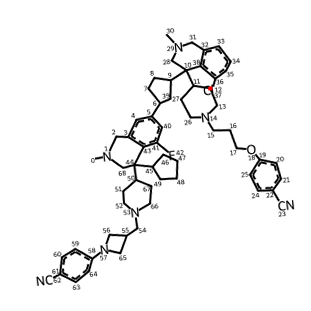 CN1Cc2cc(C3CCC(C4(C5CCN(CCCOc6ccc(C#N)cc6)CC5)CN(C)Cc5cccc(Cl)c54)C3)cc(F)c2C(C2CCCC2)(C2CCN(CC3CN(c4ccc(C#N)cc4)C3)CC2)C1